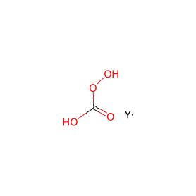 O=C(O)OO.[Y]